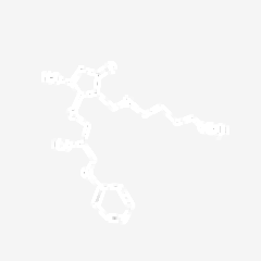 O=C(O)CCCCSCC1C(=O)CC(O)C1OCC(O)COc1ccccc1